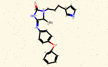 CCCCC1/C(=N\c2ccc(Oc3ccccc3)cc2)NC(=O)N1CCCC1C=CN=C1